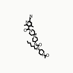 CCCCC1CN(C2CCN(C(C)=O)CC2)C(=O)N1C1CCN(C2(C)CCN(C(=O)c3c(C)cc(C#N)nc3C)CC2)CC1